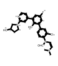 CN(C)/C=C\N(C=O)c1ccc(-c2cc(F)cc(-c3ccnc(N4CCC(O)C4)c3)c2O)cc1Cl